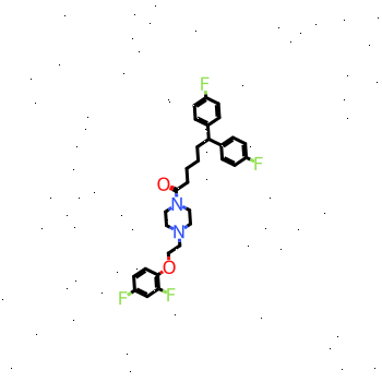 O=C(CCCCC(c1ccc(F)cc1)c1ccc(F)cc1)N1CCN(CCOc2ccc(F)cc2F)CC1